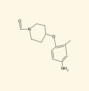 Cc1cc(N)ccc1OC1CCN(C=O)CC1